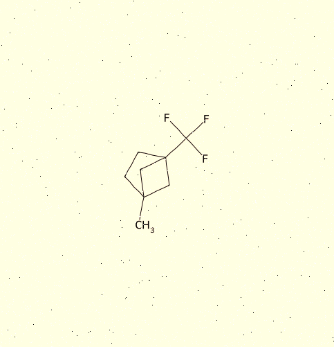 CC12CCC(C(F)(F)F)(C1)C2